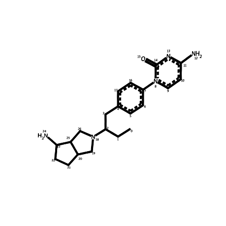 CCC(Cc1ccc(-n2ccc(N)nc2=O)cc1)N1CC2CCC(N)C2C1